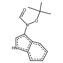 CC(C)(C)ON(C=O)c1c[nH]c2ccccc12